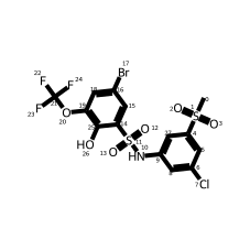 CS(=O)(=O)c1cc(Cl)cc(NS(=O)(=O)c2cc(Br)cc(OC(F)(F)F)c2O)c1